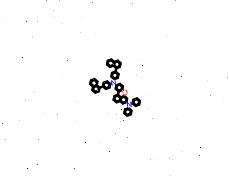 c1ccc(N(c2ccccc2)c2cc3c4c(cccc4c2)-c2cc(N(c4ccc(-c5cccc6ccccc56)cc4)c4ccc(-c5cccc6ccccc56)cc4)ccc2O3)cc1